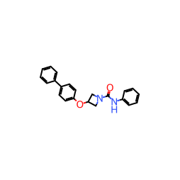 O=C(Nc1ccccc1)N1CC(Oc2ccc(-c3ccccc3)cc2)C1